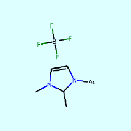 CC(=O)N1C=CN(C)C1C.F[B-](F)(F)F